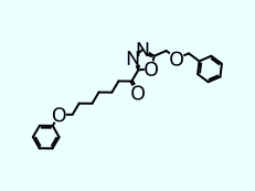 O=C(CCCCCCOc1ccccc1)c1nnc(COCc2ccccc2)o1